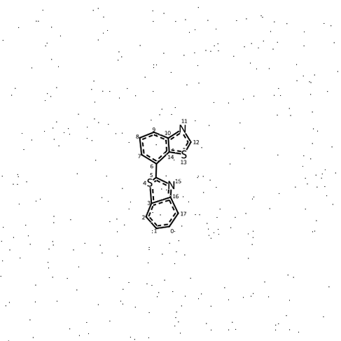 c1ccc2sc(-c3cccc4ncsc34)nc2c1